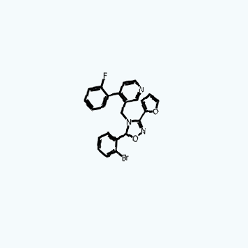 Fc1ccccc1-c1ccncc1CN1C(c2ccco2)=NOC1c1ccccc1Br